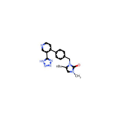 CCCCc1cn(C)c(=O)n1Cc1ccc(-c2ccncc2-c2nnn[nH]2)cc1